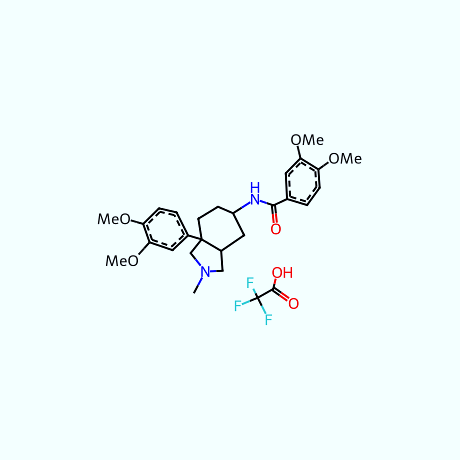 COc1ccc(C(=O)NC2CCC3(c4ccc(OC)c(OC)c4)CN(C)CC3C2)cc1OC.O=C(O)C(F)(F)F